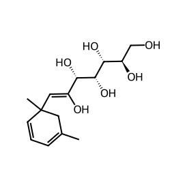 CC1=CC=CC(C)(C=C(O)[C@H](O)[C@@H](O)[C@H](O)[C@H](O)CO)C1